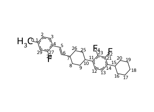 Cc1ccc(/C=C/C2CCC(c3ccc(C4CCCCC4)c(F)c3F)CC2)c(F)c1